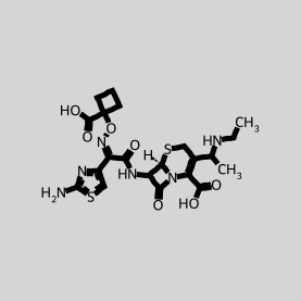 CCNC(C)C1=C(C(=O)O)N2C(=O)C(NC(=O)/C(=N\OC3(C(=O)O)CCC3)c3csc(N)n3)[C@H]2SC1